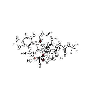 C=COC(=O)Oc1c(C)c2c(c3c1[C@H]1SC[C@]4(NCCc5cc(OC(=O)OC(C)(C)C)c(OC)cc54)C(=O)OC[C@@H]3N3C1[C@@H]1c4c(cc(C)c(OC)c4O)C[C@H]([C@@H]3O)N1C)OCO2